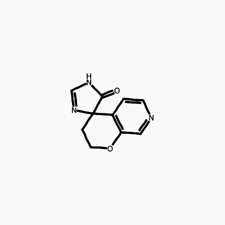 O=C1NC=NC12CCOc1cnccc12